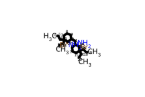 CCCC1(CCC)CCCC(CC2CCCC(CCC)(CCC)C2(N)Br)C1(N)Br